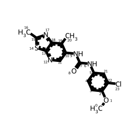 COc1ccc(NC(=O)Nc2cnc3sc(C)nc3c2C)cc1Cl